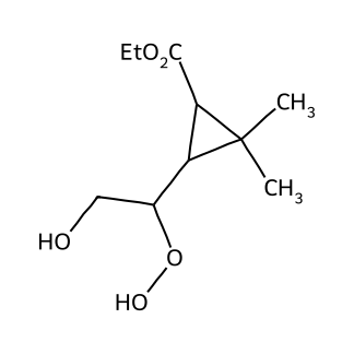 CCOC(=O)C1C(C(CO)OO)C1(C)C